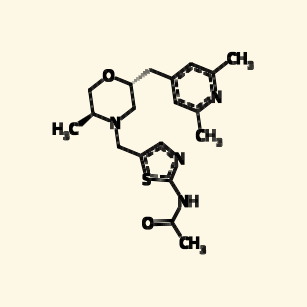 CC(=O)Nc1ncc(CN2C[C@@H](Cc3cc(C)nc(C)c3)OC[C@@H]2C)s1